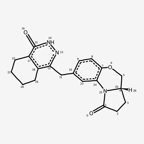 O=C1CC[C@H]2COc3ccc(Cc4n[nH]c(=O)c5c4CCCC5)cc3N12